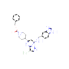 O=C(OCc1ccccc1)N1CCC(c2cc(NCc3ccc4[nH]cnc4c3)n3ncc(Br)c3n2)CC1